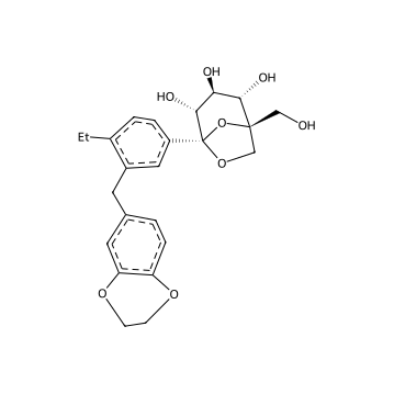 CCc1ccc([C@@]23OC[C@](CO)(O2)[C@@H](O)[C@H](O)[C@H]3O)cc1Cc1ccc2c(c1)OCCO2